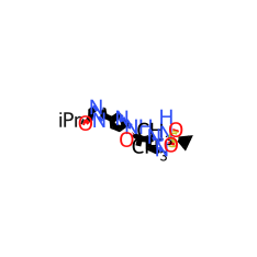 CC(C)Oc1cncc(-c2ccc(NC(=O)C(C)(C)c3ccnc(NS(=O)(=O)C4CC4)n3)nc2)n1